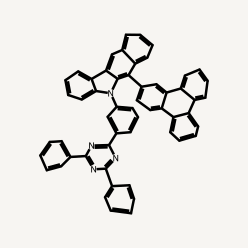 c1ccc(-c2nc(-c3ccccc3)nc(-c3cccc(-n4c5ccccc5c5cc6ccccc6c(-c6ccc7c8ccccc8c8ccccc8c7c6)c54)c3)n2)cc1